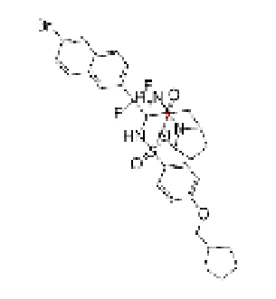 NC1CC2CCC(C1)N2C(=O)C(NS(=O)(=O)c1ccc(OCC2CCCC2)cc1)C(F)(F)c1ccc2cc(Br)ccc2c1